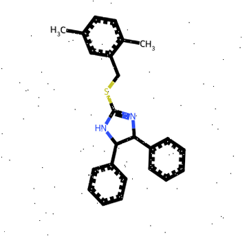 Cc1ccc(C)c(CSC2=NC(c3ccccc3)C(c3ccccc3)N2)c1